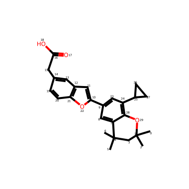 CC1(C)CC(C)(C)c2cc(-c3cc4cc(CC(=O)O)ccc4o3)cc(C3CC3)c2O1